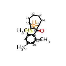 Cc1cc(C)c(C(=O)[PH]2(S)C3CCCCC2CC3)c(C)c1